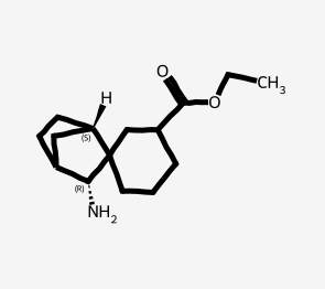 CCOC(=O)C1CCCC2(C1)[C@H]1CCC(C1)[C@H]2N